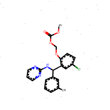 CC(C)OC(=O)OCOc1ccc(Cl)cc1C(Nc1ncccn1)c1cccc(C#N)c1